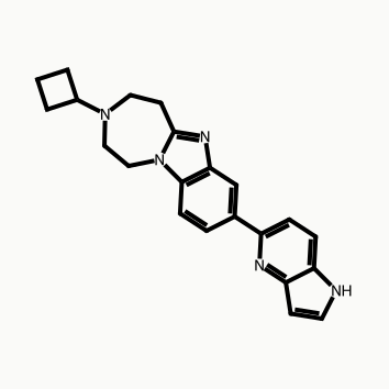 c1cc2nc(-c3ccc4c(c3)nc3n4CCN(C4CCC4)CC3)ccc2[nH]1